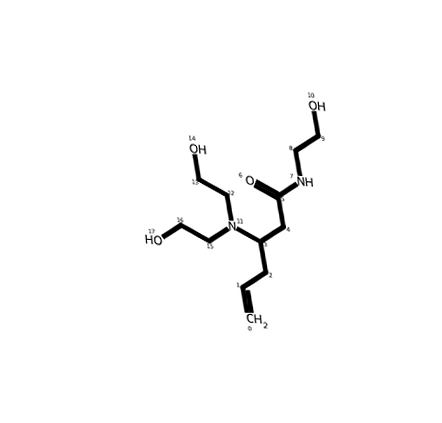 C=CCC(CC(=O)NCCO)N(CCO)CCO